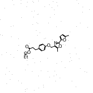 CCOOC(=O)CCc1ccc(OCc2nc(-c3ccc(C)o3)oc2C)cc1